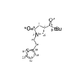 CC(C)(C)C(=O)C1CC(=O)N(CCc2cccs2)C1